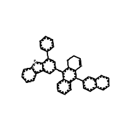 C1=Cc2c(c(-c3cc(-c4ccccc4)c4sc5ccccc5c4c3)c3ccccc3c2-c2ccc3ccccc3c2)CC1